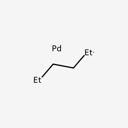 C[CH]CCCC.[Pd]